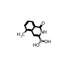 Cc1cccc2c(=O)[nH]c(B(O)O)cc12